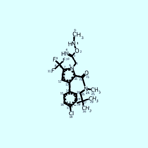 CNOC(=N)Cn1c(C(F)(F)F)cc(-c2ccc(Cl)cc2)c1C(=O)N(C)CC(C)(C)C